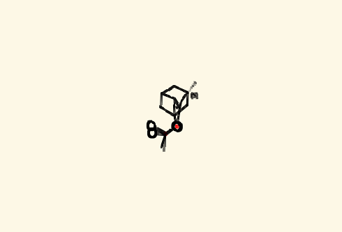 CC(=O)OC1=C2C3CC2(OC(C)=O)C[C@@](C)(C1)C3